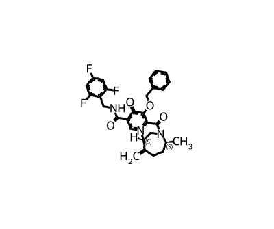 C=C1CC[C@H](C)N2C[C@H]1n1cc(C(=O)NCc3c(F)cc(F)cc3F)c(=O)c(OCc3ccccc3)c1C2=O